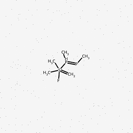 C=S(C)(C)(F)/[PH](C)=P/C